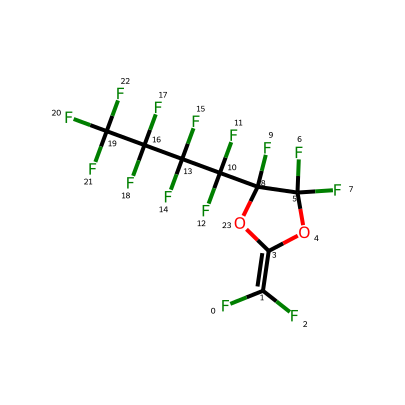 FC(F)=C1OC(F)(F)C(F)(C(F)(F)C(F)(F)C(F)(F)C(F)(F)F)O1